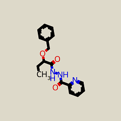 CCC(OCc1ccccc1)C(=O)NNC(=O)c1ccccn1